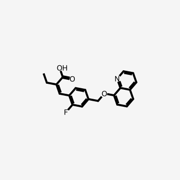 CCC(=Cc1ccc(COc2cccc3cccnc23)cc1F)C(=O)O